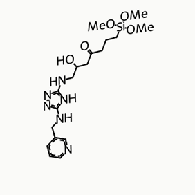 CO[Si](CCCC(=O)CC(O)CNc1nnc(NCc2cccnc2)[nH]1)(OC)OC